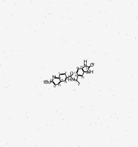 CC(NC(=O)c1ccc2nc(C(C)(C)C)ccc2c1)c1ccc2[nH]c(=O)[nH]c2c1